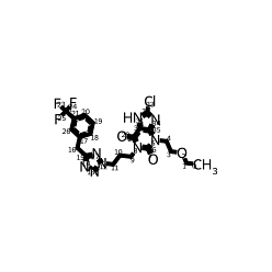 CCOCCn1c(=O)n(CCCn2nnc(Cc3cccc(C(F)(F)F)c3)n2)c(=O)c2[nH]c(Cl)nc21